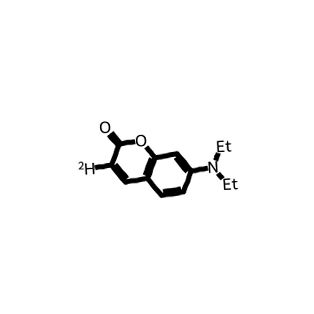 [2H]c1cc2ccc(N(CC)CC)cc2oc1=O